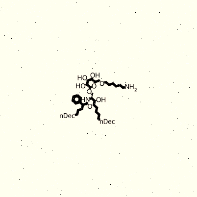 CCCCCCCCCCCCCCC[C@@H](O)[C@H](COC1OC(COCCCCCCN)C(O)C(O)C1O)NC(=O)C(CCCCCCCCCCCCC)c1ccccc1